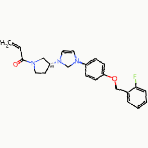 C=CC(=O)N1CC[C@@H](N2C=CN(c3ccc(OCc4ccccc4F)cc3)C2)C1